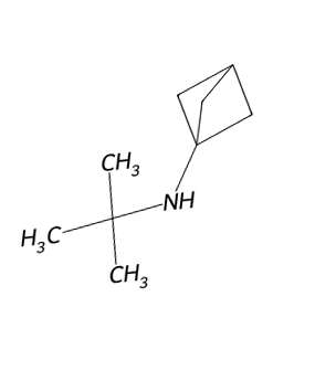 CC(C)(C)NC12CC(C1)C2